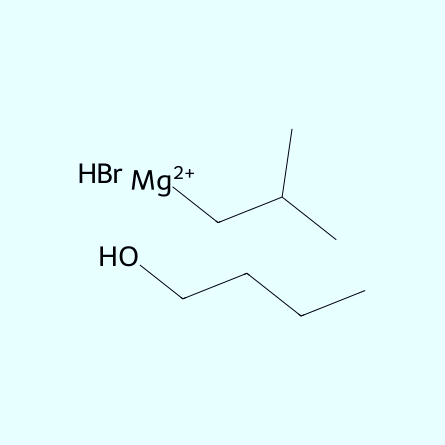 Br.CC(C)[CH2][Mg+2].CCCCO